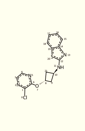 Clc1nccnc1O[C@H]1C[C@H](Nc2nc3ccccc3s2)C1